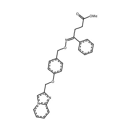 COC(=O)CCC(=NOCc1ccc(OCc2cn3ccccc3n2)cc1)c1ccccc1